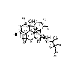 C=C[C@@H](C)CC(=O)[C@]1(O)[C@@H](C)C[C@H](O)[C@H]2C(C)(C)CC[C@](O)(OC(=O)NOC(=O)C(C)(C)OC)[C@@]21C